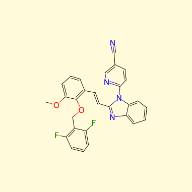 COc1cccc(/C=C/c2nc3ccccc3n2-c2ccc(C#N)cn2)c1OCc1c(F)cccc1F